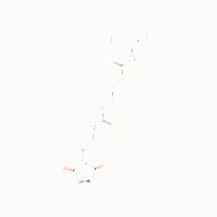 C[C@@H](C=O)NC(=O)CCCCC(=O)NCCN1C(=O)C=CC1=O